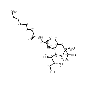 COCCOCCOC(=O)NCC(=O)NC1C(O)CC(C(=O)O)(C(C(C)C)C(C)C)OC1[C@H](O)[C@H](O)CO